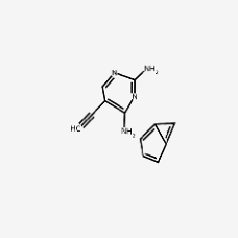 C#Cc1cnc(N)nc1N.c1cc2cc-2c1